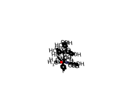 COCc1c(C(C)C)nc(C(C)C)c(/C=C/[C@@H](O)C[C@@H](O)CC(=O)O)c1-c1ccc(F)cc1.O=C(O[C@@H]1Cc2c(O)cc(O)cc2O[C@@H]1c1cc(O)c(O)c(O)c1)c1cc(O)c(O)c(O)c1